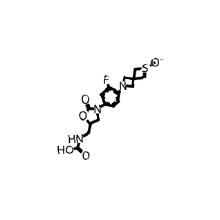 O=C(O)NCC1CN(c2ccc(N3CC4(C3)C[S+]([O-])C4)c(F)c2)C(=O)O1